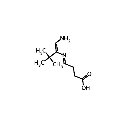 CC(C)(C)C(=C/N)/N=C/CCC(=O)O